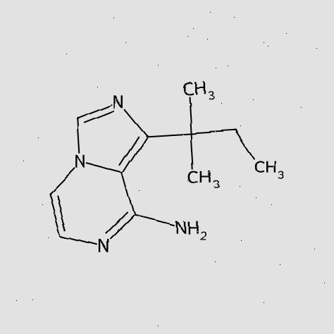 CCC(C)(C)c1ncn2ccnc(N)c12